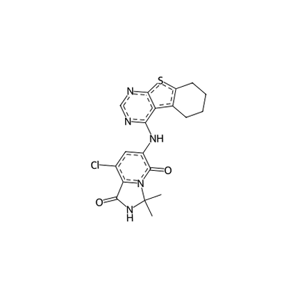 CC1(C)NC(=O)c2c(Cl)cc(Nc3ncnc4sc5c(c34)CCCC5)c(=O)n21